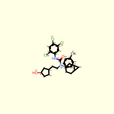 N#Cc1cccc([C@]23CC[C@@H](N(CCC4CC[C@@H](O)C4)C(=O)Nc4cc(Cl)c(Cl)cc4Cl)CC2C3)c1